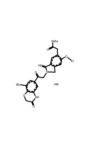 Br.CCOc1cc2c(cc1CC(=O)NC)C(=N)N(CC(=O)c1cc3c(c(C(C)(C)C)c1)OCC(=O)N3)C2